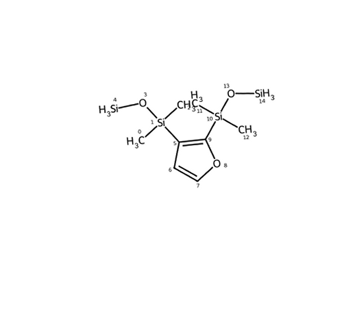 C[Si](C)(O[SiH3])c1ccoc1[Si](C)(C)O[SiH3]